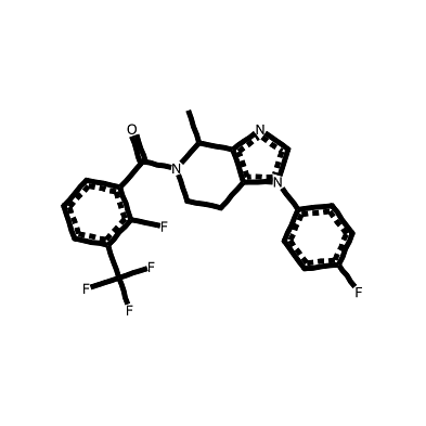 CC1c2ncn(-c3ccc(F)cc3)c2CCN1C(=O)c1cccc(C(F)(F)F)c1F